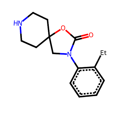 CCc1ccccc1N1CC2(CCNCC2)OC1=O